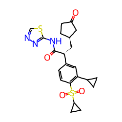 O=C1CC[C@H](C[C@@H](C(=O)Nc2nncs2)c2ccc(S(=O)(=O)C3CC3)c(C3CC3)c2)C1